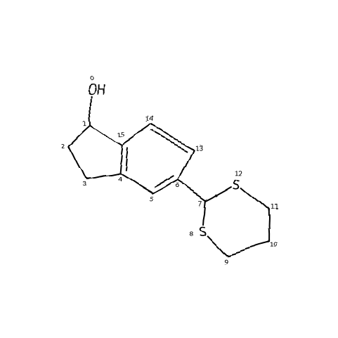 OC1CCc2cc(C3SCCCS3)ccc21